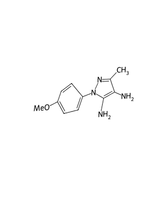 COc1ccc(-n2nc(C)c(N)c2N)cc1